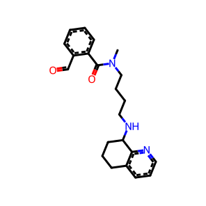 CN(CCCCNC1CCCc2cccnc21)C(=O)c1ccccc1C=O